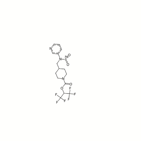 O=C(OC(C(F)(F)F)C(F)(F)F)N1CCC(CN(c2cccnc2)[SH](=O)=O)CC1